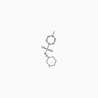 Cc1ccc(S(=O)(=O)/N=S2\CCCSC2)cc1